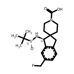 CC(C)(C)[S@@+]([O-])N[C@@H]1c2cc(CF)ccc2CC12CCN(C(=O)O)CC2